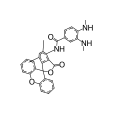 CNc1ccc(C(=O)Nc2c(C)cc(C)c3c2C(=O)OC32c3ccccc3Oc3ccccc32)cc1NC